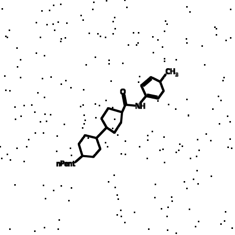 CCCCCC1CCC(C2CCC(C(=O)NC3=CCC(C)C=C3)CC2)CC1